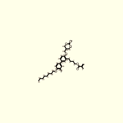 C=C(C)C(=O)OCCCCc1cc(-c2ccc(OCCCCCCCC)c(F)c2)ccc1OCC1COC(=O)OC1